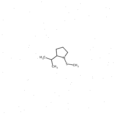 CSN1CCCC1C(C)C